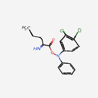 CCCC(=N)C(=O)ON(c1ccccc1)c1ccc(Cl)c(Cl)c1